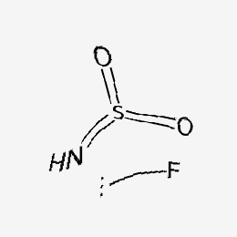 N=S(=O)=O.[C]F